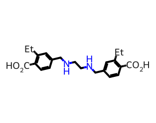 CCc1cc(CNCCNCc2ccc(C(=O)O)c(CC)c2)ccc1C(=O)O